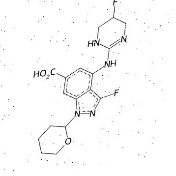 O=C(O)c1cc(NC2=NCC(F)CN2)c2c(F)nn(C3CCCCO3)c2c1